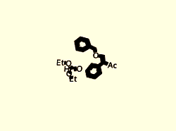 CC(=O)/C(=C/OCc1ccccc1)c1ccccc1.CCO[PH](=O)OCC